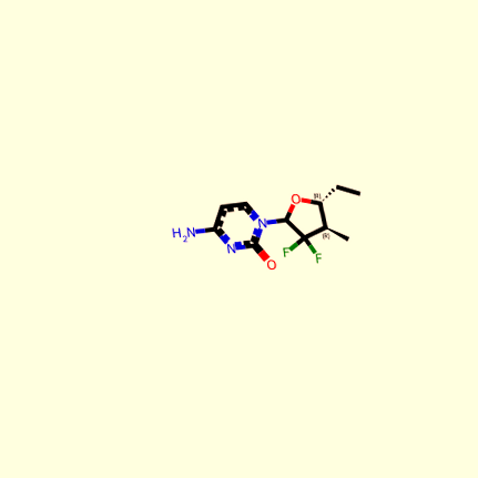 CC[C@H]1OC(n2ccc(N)nc2=O)C(F)(F)[C@@H]1C